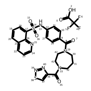 O=C(O)C(F)(F)F.O=C(c1ccc(NS(=O)(=O)c2cccc3cccnc23)cc1)N1CCCN(C(=O)c2csnn2)CC1